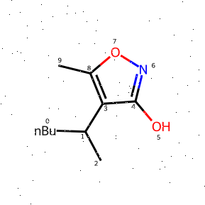 CCCCC(C)c1c(O)noc1C